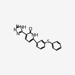 O=c1[nH]c(-c2cccc(Sc3ccccc3)c2)ccc1-c1nnn[nH]1